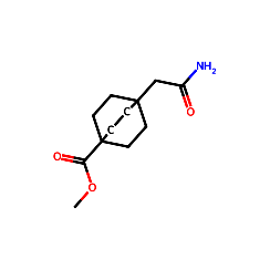 COC(=O)C12CCC(CC(N)=O)(CC1)CC2